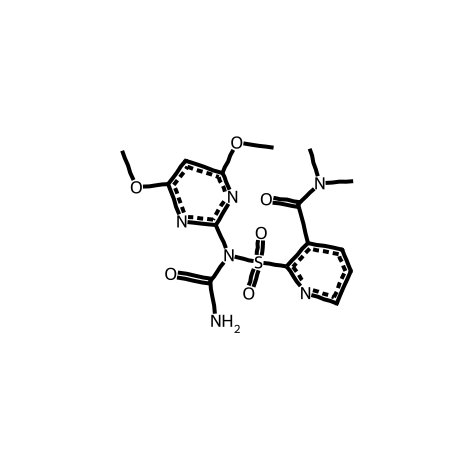 COc1cc(OC)nc(N(C(N)=O)S(=O)(=O)c2ncccc2C(=O)N(C)C)n1